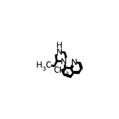 CC(C)C1CNCCN1c1cccc2cccnc12